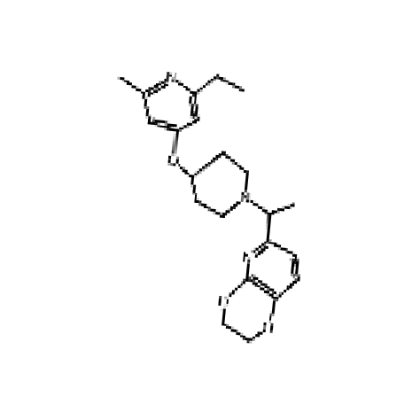 CCc1cc(OC2CCN(C(C)c3ccc4c(n3)OCCO4)CC2)cc(C)n1